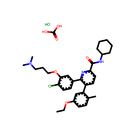 CCOc1ccc(C)c(-c2ccc(C(=O)NC3CCCCC3)nc2-c2ccc(Cl)c(OCCCN(C)C)c2)c1.Cl.O=C(O)O